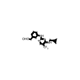 O=CCc1cccc(Nc2ncc(C(F)(F)F)c(NCC3CC3)n2)c1